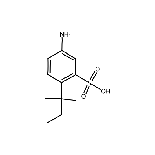 CCC(C)(C)c1ccc([NH])cc1S(=O)(=O)O